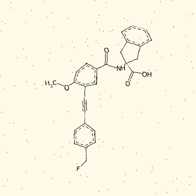 COc1ccc(C(=O)NC2(C(=O)O)Cc3ccccc3C2)cc1C#Cc1ccc(CF)cc1